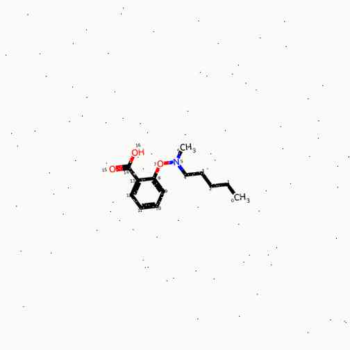 CCCCCN(C)Oc1ccccc1C(=O)O